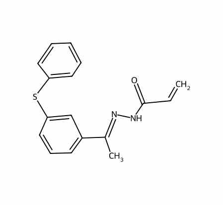 C=CC(=O)NN=C(C)c1cccc(Sc2ccccc2)c1